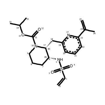 C=CS(=O)(=O)N[C@@H]1CCCN(C(=O)OC(C)C)[C@@H]1Cc1cccc(C(=C)C)n1